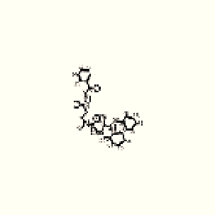 CN(CCC(=O)OCC(=O)c1ccccc1)C(=O)O[C@@H](Cc1ccccc1)C(=O)OCc1ccccc1